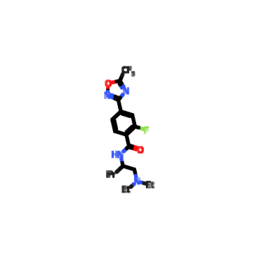 CCN(CC)CC(NC(=O)c1ccc(-c2noc(C(F)(F)F)n2)cc1F)C(C)C